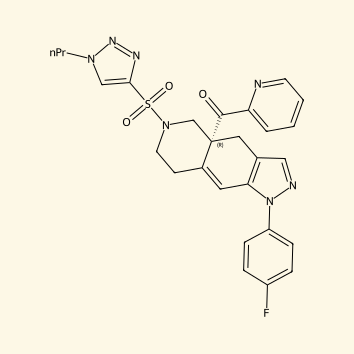 CCCn1cc(S(=O)(=O)N2CCC3=Cc4c(cnn4-c4ccc(F)cc4)C[C@]3(C(=O)c3ccccn3)C2)nn1